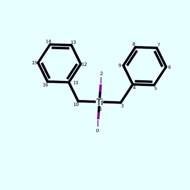 [I][Ti]([I])([CH2]c1ccccc1)[CH2]c1ccccc1